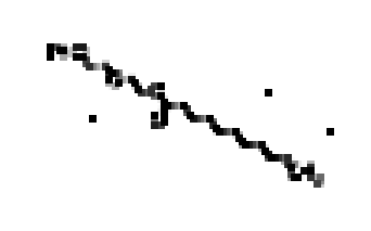 C=CCCCCCCCCC(=O)OCCOCCOCC